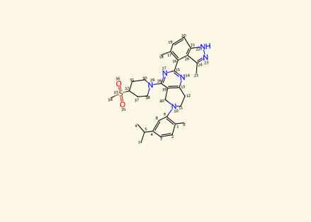 Cc1ccc(C(C)C)cc1N1CCc2nc(-c3c(C)ccc4[nH]nc(C)c34)nc(N3CCC(S(C)(=O)=O)CC3)c2C1